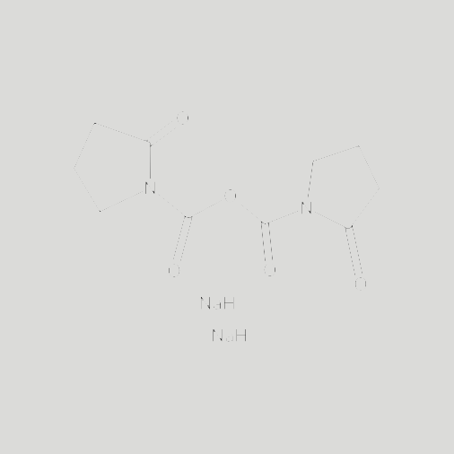 O=C1CCCN1C(=O)OC(=O)N1CCCC1=O.[NaH].[NaH]